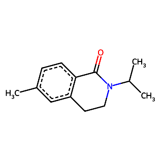 Cc1ccc2c(c1)CCN(C(C)C)C2=O